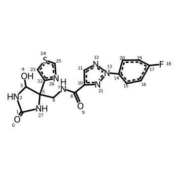 O=C1NC(O)C(CNC(=O)c2cnn(-c3ccc(F)cc3)n2)(c2cscn2)N1